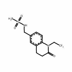 BS(=O)(=O)NCc1ccc2c(c1)CCC(=O)N2CC(F)(F)F